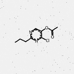 CCCc1ncc(OC(C)=O)c(Cl)n1